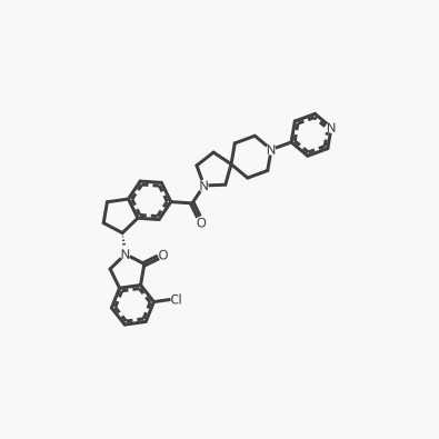 O=C(c1ccc2c(c1)[C@H](N1Cc3cccc(Cl)c3C1=O)CC2)N1CCC2(CCN(c3ccncc3)CC2)C1